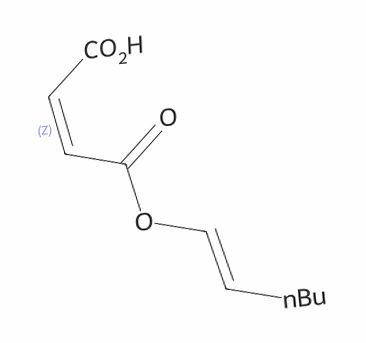 CCCCC=COC(=O)/C=C\C(=O)O